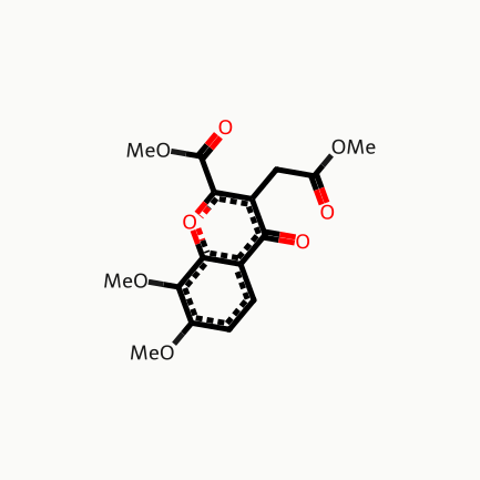 COC(=O)Cc1c(C(=O)OC)oc2c(OC)c(OC)ccc2c1=O